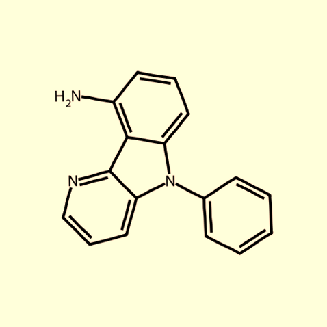 Nc1cccc2c1c1ncccc1n2-c1ccccc1